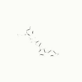 COc1cc(C(=O)O)ccc1NS(=O)(=O)c1ccc(-c2cccc(-c3ccc(C)cc3)c2)s1